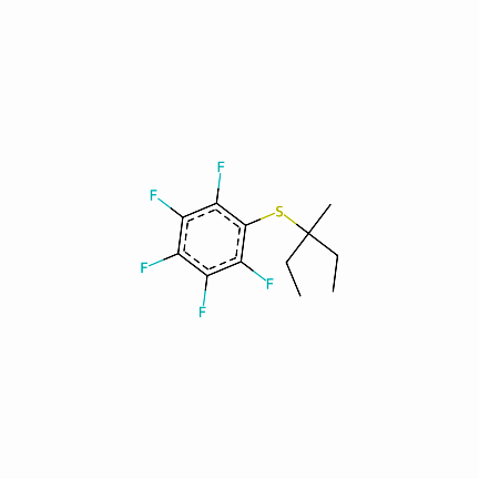 CCC(C)(CC)Sc1c(F)c(F)c(F)c(F)c1F